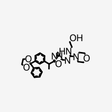 CC(c1cccc(C2(c3ccccc3)OCCO2)c1)c1nnc(/N=C(\NCCO)N2CCOCC2)o1